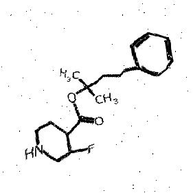 CC(C)(CCc1ccccc1)OC(=O)C1CCNCC1F